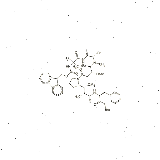 CC[C@H](C)[C@@H]([C@@H](CC(=O)N1CCC[C@H]1[C@H](OC)[C@@H](C)C(=O)N[C@@H](Cc1ccccc1)C(=O)OC(C)(C)C)OC)N(C)[C@H](C(=O)NC(=O)C(C)(C)NC(=O)OCC1c2ccccc2-c2ccccc21)C(C)C